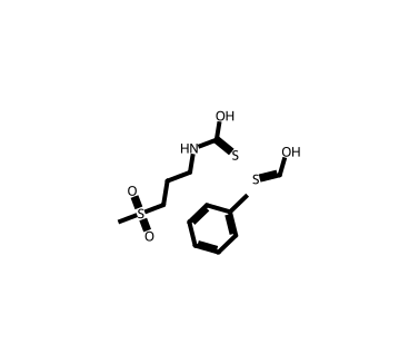 CS(=O)(=O)CCCNC(O)=S.Cc1ccccc1.OC=S